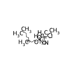 Cc1cccc([C@H](C)c2nccn2C(=O)OCC[C@@H](C)CCCC(C)C)c1C